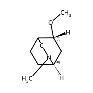 CO[C@@H]1C[C@H]2CCC1CN2C